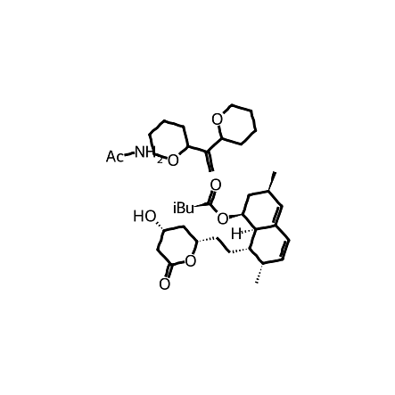 C=C(C1CCCCO1)C1CCCCO1.CC(N)=O.CC[C@H](C)C(=O)O[C@H]1C[C@@H](C)C=C2C=C[C@H](C)[C@H](CC[C@H]3C[C@@H](O)CC(=O)O3)[C@H]21